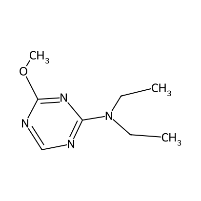 CCN(CC)c1ncnc(OC)n1